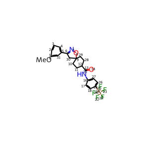 COc1cccc(C2=NOC3(CCC(C(=O)Nc4ccc(S(F)(F)(F)(F)F)cc4)CC3)C2)c1